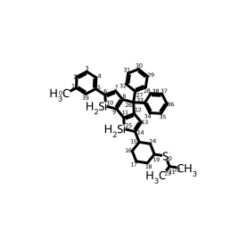 Cc1cccc(C2=CC3=C([SiH2]2)C2=C(C=C(C4CCCC(SC(C)C)C4)[SiH2]2)C3(c2ccccc2)c2ccccc2)c1